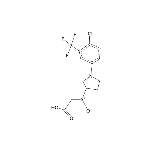 O=C(O)C[S+]([O-])C1CCN(c2ccc(Cl)c(C(F)(F)F)c2)C1